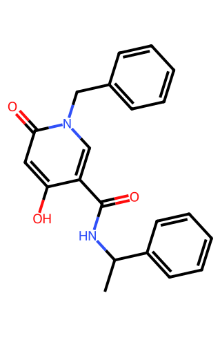 CC(NC(=O)c1cn(Cc2ccccc2)c(=O)cc1O)c1ccccc1